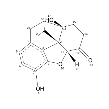 CC[C@]12c3c4ccc(O)c3O[C@H]1C(=O)CC[C@@]2(O)CC4